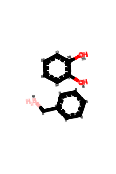 BCc1ccccc1.Oc1ccccc1O